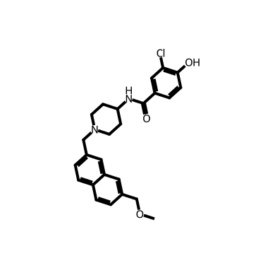 COCc1ccc2ccc(CN3CCC(NC(=O)c4ccc(O)c(Cl)c4)CC3)cc2c1